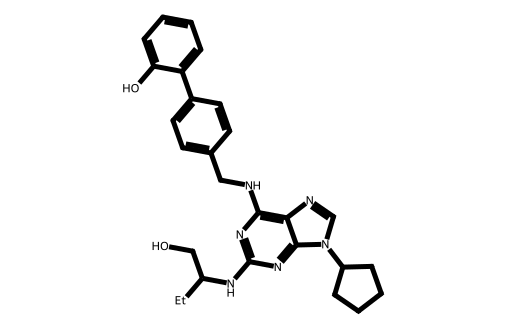 CCC(CO)Nc1nc(NCc2ccc(-c3ccccc3O)cc2)c2ncn(C3CCCC3)c2n1